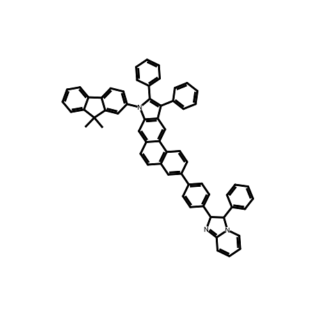 CC1(C)c2ccccc2-c2ccc(-n3c(-c4ccccc4)c(-c4ccccc4)c4cc5c(ccc6cc(-c7ccc(C8N=C9C=CC=CN9C8c8ccccc8)cc7)ccc65)cc43)cc21